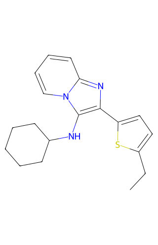 CCc1ccc(-c2nc3ccccn3c2NC2CCCCC2)s1